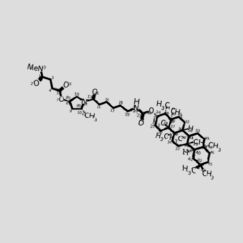 CNC(=O)CCC(=O)O[C@@H]1C[C@@H](C)N(C(=O)CCCCCNC(=O)O[C@H]2CC[C@]3(C)[C@](C)(CC[C@H]4[C@@]3(C)CC[C@@]3(C)[C@@H]5CC(C)(C)CC[C@]5(C)CC[C@]43C)[C@H]2C)C1